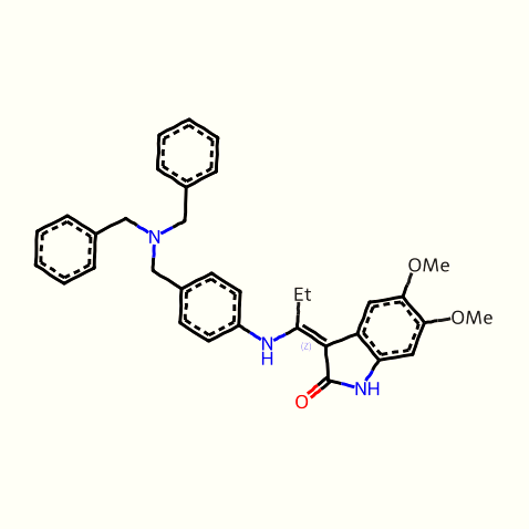 CC/C(Nc1ccc(CN(Cc2ccccc2)Cc2ccccc2)cc1)=C1/C(=O)Nc2cc(OC)c(OC)cc21